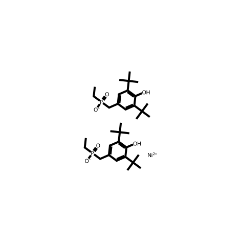 CCP(=O)([O-])Cc1cc(C(C)(C)C)c(O)c(C(C)(C)C)c1.CCP(=O)([O-])Cc1cc(C(C)(C)C)c(O)c(C(C)(C)C)c1.[Ni+2]